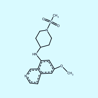 COc1cc(NC2CCN(S(C)(=O)=O)CC2)c2cnccc2c1